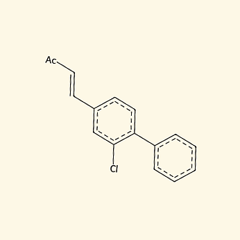 CC(=O)/C=C/c1ccc(-c2ccccc2)c(Cl)c1